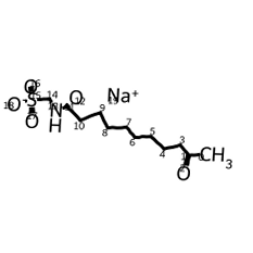 CC(=O)CCCCCCCCC(=O)NCS(=O)(=O)[O-].[Na+]